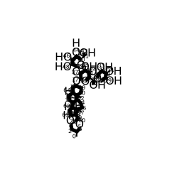 C[C@H]1CC[C@@]2(OC1)O[C@H]1C[C@H]3[C@@H]4CC[C@@H]5C[C@@H](O[C@@H]6O[C@H](CO)[C@@H](O[C@@H]7OC[C@H](O)[C@H](O)[C@H]7O)[C@H](O)[C@H]6O[C@@H]6O[C@H](CO)[C@@H](O)[C@H](O)[C@H]6O)CC[C@]5(C)[C@H]4CC[C@]3(C)[C@H]1[C@@H]2C